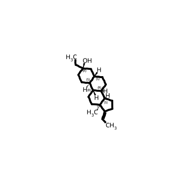 CC=C1CC[C@H]2[C@@H]3CC[C@H]4C[C@@](O)(CC)CC[C@@H]4[C@H]3CC[C@]12C